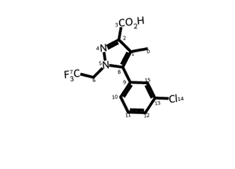 Cc1c(C(=O)O)nn(CC(F)(F)F)c1-c1cccc(Cl)c1